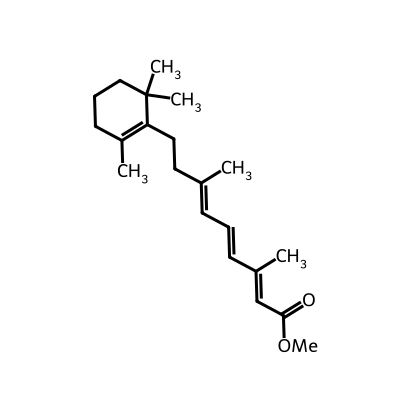 COC(=O)/C=C(C)/C=C/C=C(\C)CCC1=C(C)CCCC1(C)C